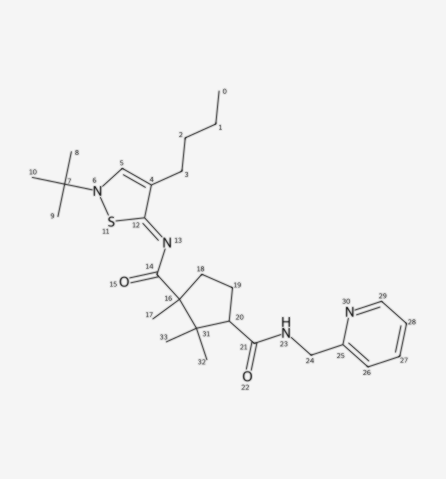 CCCCc1cn(C(C)(C)C)s/c1=N\C(=O)C1(C)CCC(C(=O)NCc2ccccn2)C1(C)C